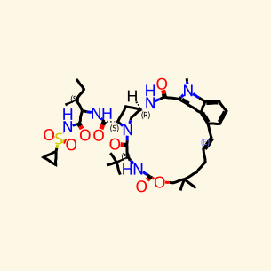 CC[C@H](C)C(NC(=O)[C@@H]1C[C@@H]2CN1C(=O)[C@H](C(C)(C)C)NC(=O)OCC(C)(C)CC/C=C/c1cccc3c1cc(n3C)C(=O)N2)C(=O)NS(=O)(=O)C1CC1